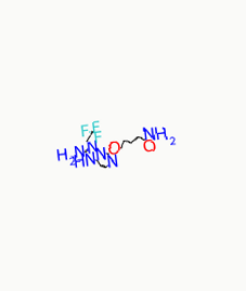 NC(=O)CCCCOc1nccc(NC(N)=NCC(F)(F)F)n1